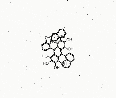 Oc1c(O)c(O)c2c(-c3cccc4oc5cc6ccccc6cc5c34)c3c(O)c(O)c(O)c(O)c3c(-c3cccc4ccccc34)c2c1O